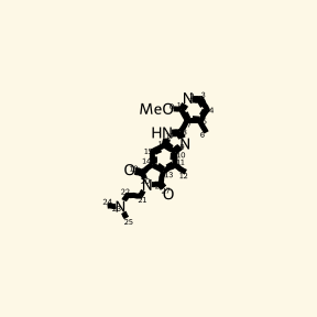 COc1nccc(C)c1-c1nc2c(C)c3c(cc2[nH]1)C(=O)N(CCN(C)C)C3=O